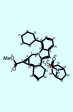 COC(=O)C1=C2Cn3c(cc4cccc(C5CCCCC5)c43)C3C(=C21)C=CC[C@H]3C(=O)N1C2CCC1CN(C)C2